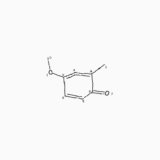 COC1=C=C(C)C(=O)C=C1